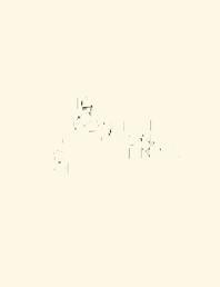 Cc1c(C)c2c(c(C)c1O)CCC(C)(CCOc1ccc(NC(=O)C=Cc3ccc(NC(=N)N)cc3)cc1C(F)(F)F)O2.Cl